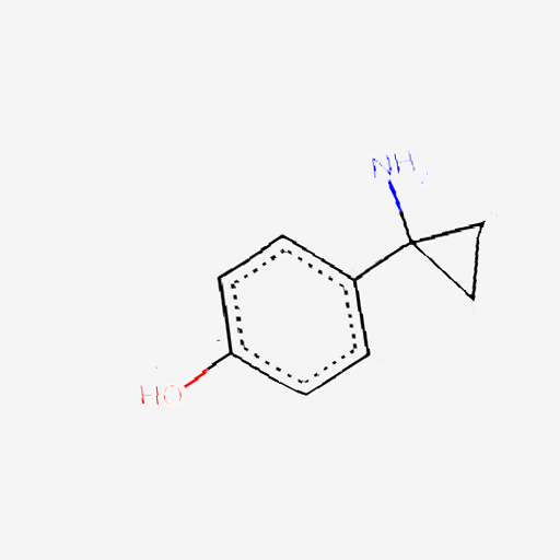 NC1(c2ccc(O)cc2)CC1